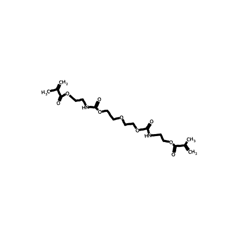 C=C(C)C(=O)OCCNC(=O)OCCOCCOC(=O)NCCOC(=O)C(=C)C